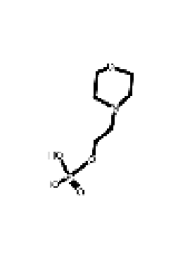 O=P(O)(O)OCCN1CCOCC1